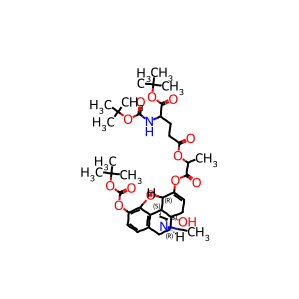 CC(OC(=O)CCC(NC(=O)OC(C)(C)C)C(=O)OC(C)(C)C)C(=O)OC1=CC[C@@]2(O)[C@H]3Cc4ccc(OC(=O)OC(C)(C)C)c5c4[C@@]2(CCN3C)[C@H]1O5